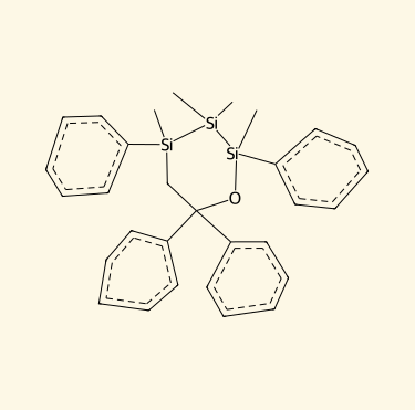 C[Si]1(c2ccccc2)CC(c2ccccc2)(c2ccccc2)O[Si](C)(c2ccccc2)[Si]1(C)C